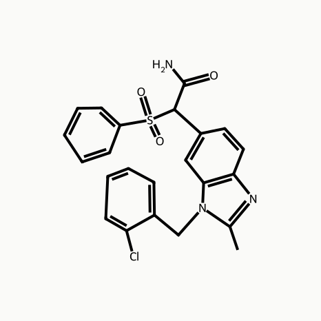 Cc1nc2ccc(C(C(N)=O)S(=O)(=O)c3ccccc3)cc2n1Cc1ccccc1Cl